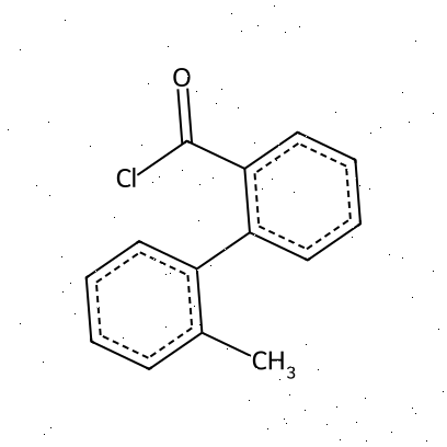 Cc1ccccc1-c1ccccc1C(=O)Cl